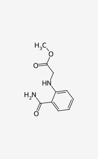 COC(=O)CNc1ccccc1C(N)=O